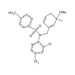 COC1(C)C=C(CN(c2ncc(C(F)(F)F)cc2Cl)S(=O)(=O)c2ccc(C(=O)O)cc2)C=CC1